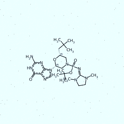 CN1CCN(C)C1=NP(=O)(OC(C)(C)C)N1C[C@@H](CC(C)(C)C)O[C@@H](n2cnc3c(=O)[nH]c(N)nc32)C1